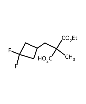 CCOC(=O)C(C)(CC1CC(F)(F)C1)C(=O)O